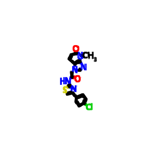 Cn1c(=O)ccc2c1ncn2CC(=O)Nc1nc(-c2ccc(Cl)cc2)cs1